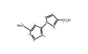 CCOC(=O)c1ccn(-c2cc(OC)ncn2)n1